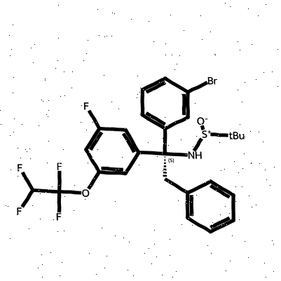 CC(C)(C)[S+]([O-])N[C@](Cc1ccccc1)(c1cccc(Br)c1)c1cc(F)cc(OC(F)(F)C(F)F)c1